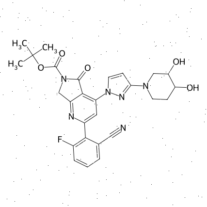 CC(C)(C)OC(=O)N1Cc2nc(-c3c(F)cccc3C#N)cc(-n3ccc(N4CCC(O)C(O)C4)n3)c2C1=O